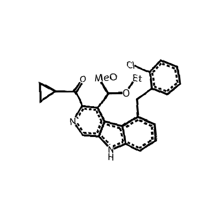 CCOC(OC)c1c(C(=O)C2CC2)ncc2[nH]c3cccc(Cc4ccccc4Cl)c3c12